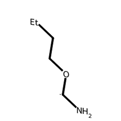 CCCCO[CH]N